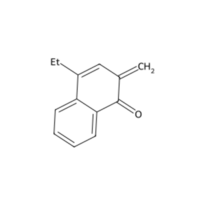 C=C1C=C(CC)c2ccccc2C1=O